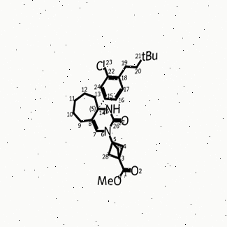 COC(=O)C12CC(N3C=C4CCCCC[C@@]4(c4ccc(CCC(C)(C)C)c(Cl)c4)NC3=O)(C1)C2